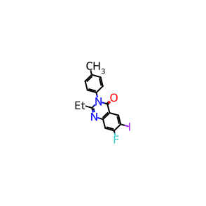 CCc1nc2cc(F)c(I)cc2c(=O)n1-c1ccc(C)cc1